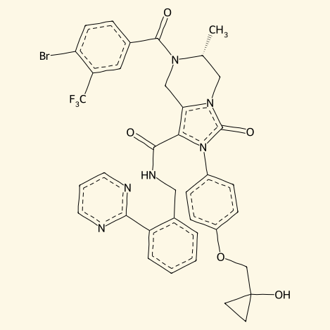 C[C@@H]1Cn2c(c(C(=O)NCc3ccccc3-c3ncccn3)n(-c3ccc(OCC4(O)CC4)cc3)c2=O)CN1C(=O)c1ccc(Br)c(C(F)(F)F)c1